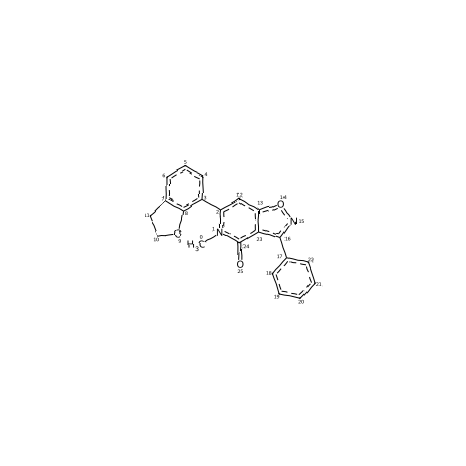 Cn1c(-c2cccc3c2OCC3)cc2onc(-c3ccccc3)c2c1=O